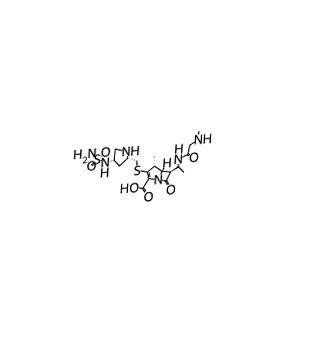 CNCC(=O)NC(C)[C@H]1C(=O)N2C(C(=O)O)=C(SC[C@@H]3C[C@H](NS(N)(=O)=O)CN3)[C@H](C)[C@H]12